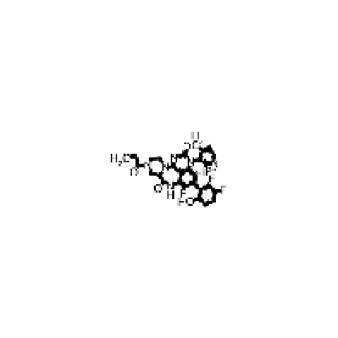 C=CC(=O)N1CCN2c3nc(=O)n(-c4c(C)ccnc4C(C)C)c4c(F)c(-c5c(O)ccc(F)c5F)c(F)c(c34)NC(=O)C2C1